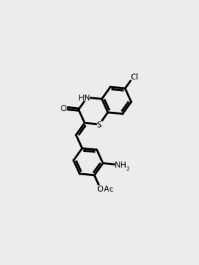 CC(=O)Oc1ccc(/C=C2\Sc3ccc(Cl)cc3NC2=O)cc1N